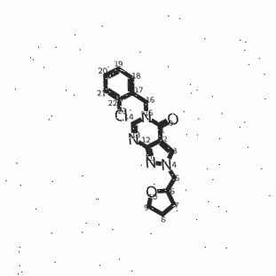 O=c1c2cn(CC3CCCO3)nc2ncn1Cc1ccccc1Cl